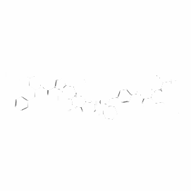 CCC(C)C(NC(=O)[C@H]1CCCC[N+]1(C)Cc1ccc(NC(=O)C(CCC(=O)O)NC(=O)C(N)C(C)C)cc1)C(=O)N(C)C(CC(OC(C)=O)c1nc(C(=O)NC(Cc2ccccc2)CC(C)C(=O)O)cs1)C(C)C